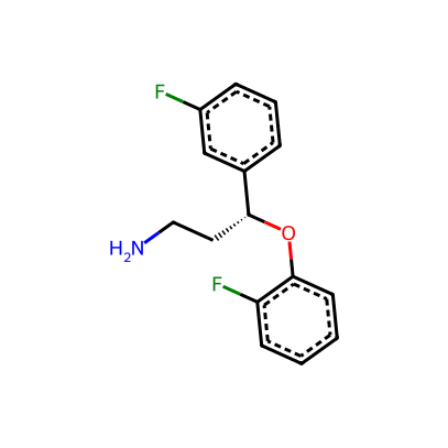 NCC[C@@H](Oc1ccccc1F)c1cccc(F)c1